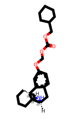 O=C(OCOc1ccc2c(c1)[C@]13CCCC[C@@H]1[C@H](C2)NCC3)OCC1CCCCC1